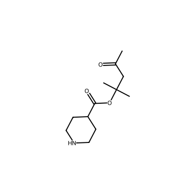 CC(=O)CC(C)(C)OC(=O)C1CCNCC1